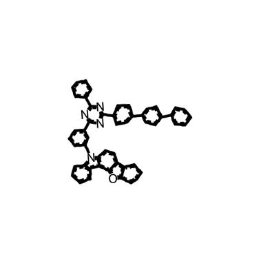 c1ccc(-c2ccc(-c3ccc(-c4nc(-c5ccccc5)nc(-c5cccc(-n6c7ccccc7c7c8oc9ccccc9c8ccc76)c5)n4)cc3)cc2)cc1